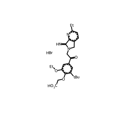 Br.CCOc1cc(C(=O)CN2Cc3ccc(CC)nc3C2=N)cc(C(C)(C)C)c1OCC(=O)O